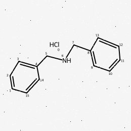 Cl.c1ccc(CNCc2ccccc2)cc1